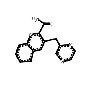 NC(=O)c1nc2ccccc2cc1Cc1cnccn1